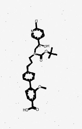 COc1cc(C(=O)O)ccc1-c1ccc(CCCN(C[C@H](O)c2ccc(Cl)nc2)C(=O)OC(C)(C)C)cc1